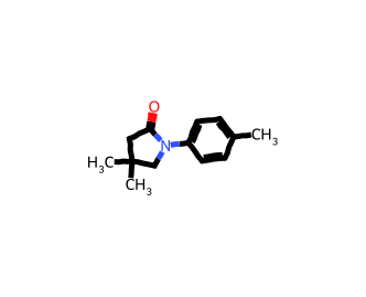 Cc1ccc(N2CC(C)(C)CC2=O)cc1